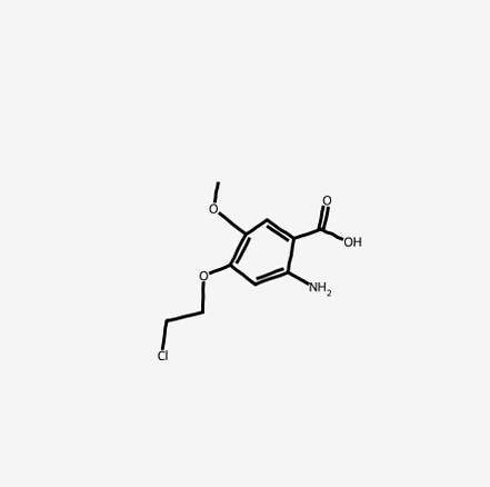 COc1cc(C(=O)O)c(N)cc1OCCCl